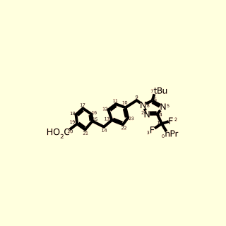 CCCC(F)(F)c1nc(C(C)(C)C)n(Cc2ccc(Cc3cccc(C(=O)O)c3)cc2)n1